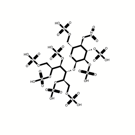 O=[SH](=O)O[C@H]1[C@H](OS(=O)(=O)O)[C@@H](OS(=O)(=O)O)[C@@H](O[C@@H]([C@H](OS(=O)(=O)O)[C@H](COS(=O)(=O)O)OS(=O)(=O)O)[C@@H](COS(=O)(=O)O)OS(=O)(=O)O)O[C@@H]1COS(=O)(=O)O